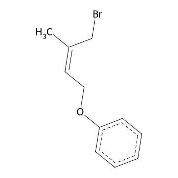 CC(=CCOc1ccccc1)CBr